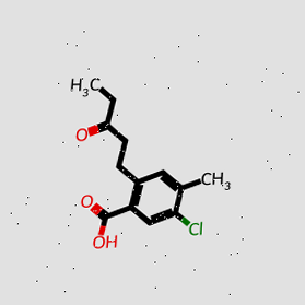 CCC(=O)CCc1cc(C)c(Cl)cc1C(=O)O